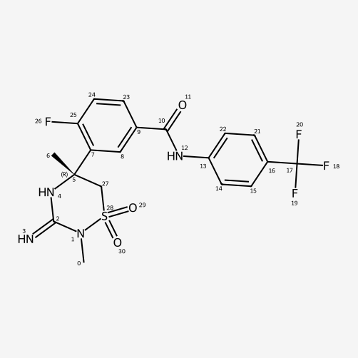 CN1C(=N)N[C@](C)(c2cc(C(=O)Nc3ccc(C(F)(F)F)cc3)ccc2F)CS1(=O)=O